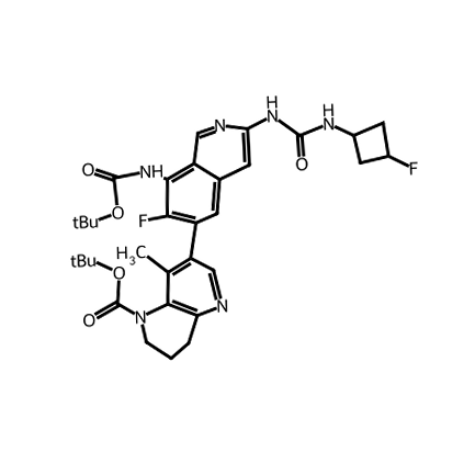 Cc1c(-c2cc3cc(NC(=O)NC4CC(F)C4)ncc3c(NC(=O)OC(C)(C)C)c2F)cnc2c1N(C(=O)OC(C)(C)C)CCC2